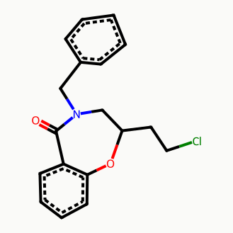 O=C1c2ccccc2OC(CCCl)CN1Cc1ccccc1